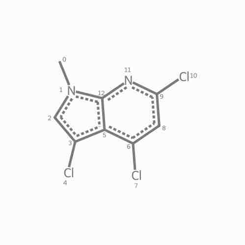 Cn1cc(Cl)c2c(Cl)cc(Cl)nc21